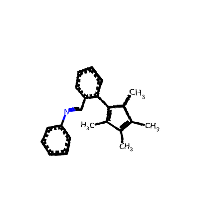 CC1=C(C)C(C)C(c2ccccc2C=Nc2ccccc2)=C1C